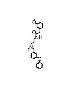 CCN(CCCNC(=O)Cc1cccc(OC)c1)Cc1cccc(Oc2ccccc2)c1